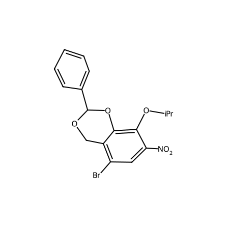 CC(C)Oc1c([N+](=O)[O-])cc(Br)c2c1OC(c1ccccc1)OC2